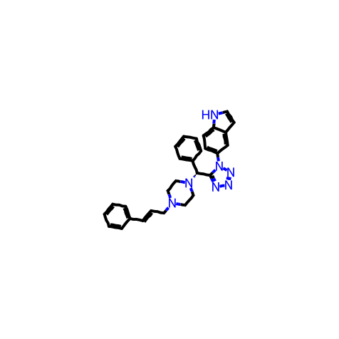 C(=C\c1ccccc1)/CN1CCN([C@H](c2ccccc2)c2nnnn2-c2ccc3[nH]ccc3c2)CC1